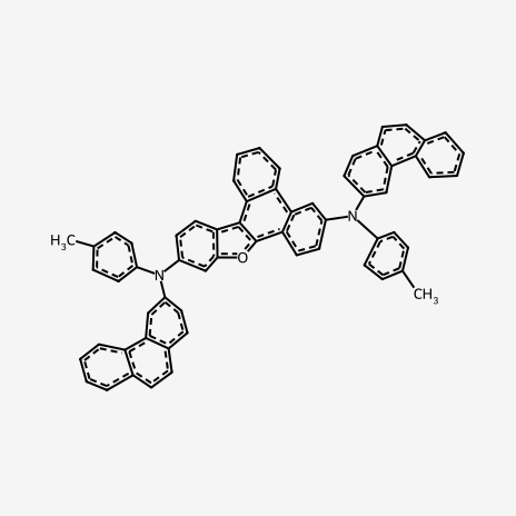 Cc1ccc(N(c2ccc3c(c2)oc2c4ccc(N(c5ccc(C)cc5)c5ccc6ccc7ccccc7c6c5)cc4c4ccccc4c32)c2ccc3ccc4ccccc4c3c2)cc1